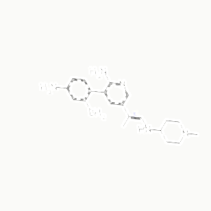 Bc1cc(N)ccc1-c1cc(/C(C)=C/NC2CCN(C)CC2)cnc1N